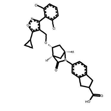 O=C(O)C1Cc2ccc(N3C(=O)[C@@H]4C[C@H]3C[C@H]4OCc3c(-c4c(Cl)cccc4Cl)noc3C3CC3)cc2C1